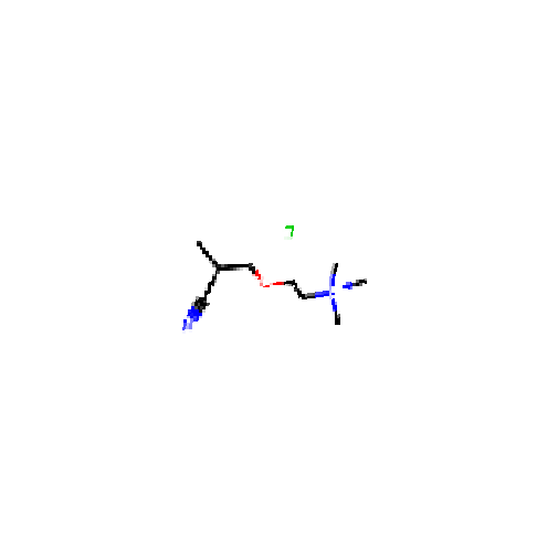 CC(C#N)COCC[N+](C)(C)C.[Cl-]